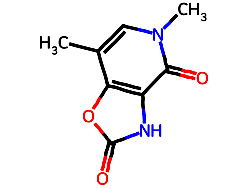 Cc1cn(C)c(=O)c2[nH]c(=O)oc12